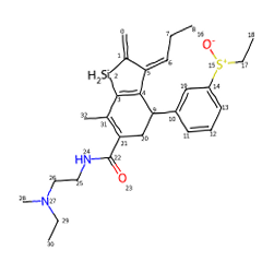 C=C1[SiH2]C2=C(/C1=C/CC)C(c1cccc([S+]([O-])CC)c1)CC(C(=O)NCCN(C)CC)=C2C